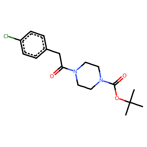 CC(C)(C)OC(=O)N1CCN(C(=O)Cc2ccc(Cl)cc2)CC1